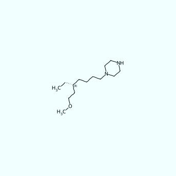 CC[C@H](CCCCN1CCNCC1)CCOC